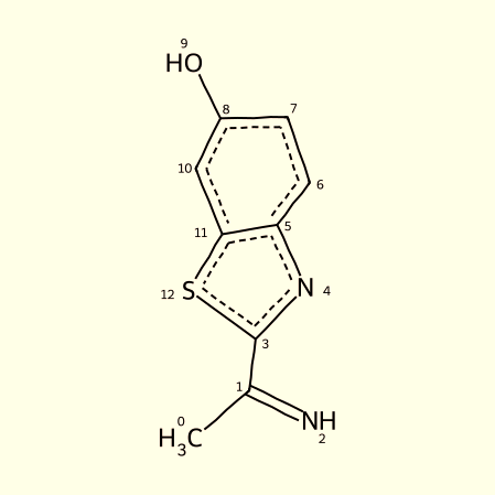 CC(=N)c1nc2ccc(O)cc2s1